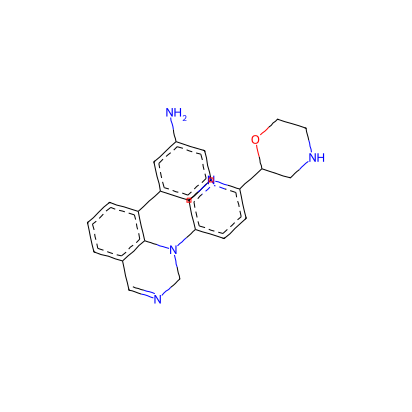 Nc1cccc(-c2cccc3c2N(c2ccc(C4CNCCO4)nc2)CN=C3)c1